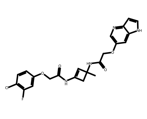 CC1(NC(=O)COc2cnc3cc[nH]c3c2)C=C(NC(=O)COc2ccc(Cl)c(F)c2)C1